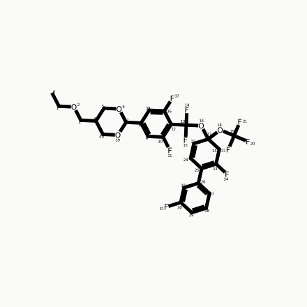 CCOCC1COC(c2cc(F)c(C(F)(F)OC3(OC(F)(F)F)C=CC(c4cccc(F)c4)=C(F)C3)c(F)c2)OC1